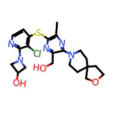 Cc1nc(N2CCC3(CCOC3)CC2)c(CO)nc1Sc1ccnc(N2CC(O)C2)c1Cl